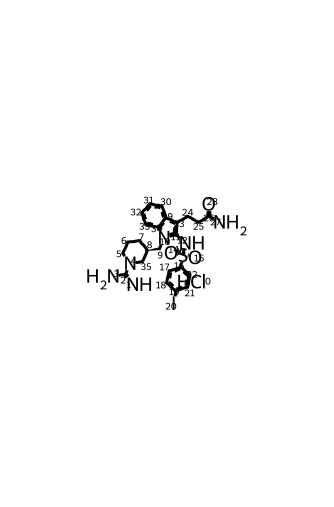 Cl.N=C(N)N1CCC[C@@H](Cn2c(NS(=O)(=O)c3ccc(I)cc3)c(CCC(N)=O)c3ccccc32)C1